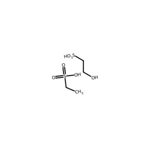 CCS(=O)(=O)O.O=S(=O)(O)CCO